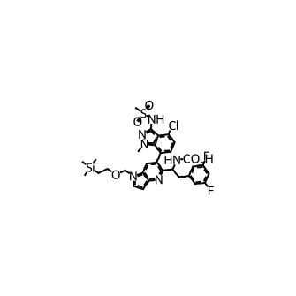 Cn1nc(NS(C)(=O)=O)c2c(Cl)ccc(-c3cc4c(ccn4COCC[Si](C)(C)C)nc3C(Cc3cc(F)cc(F)c3)NC(=O)O)c21